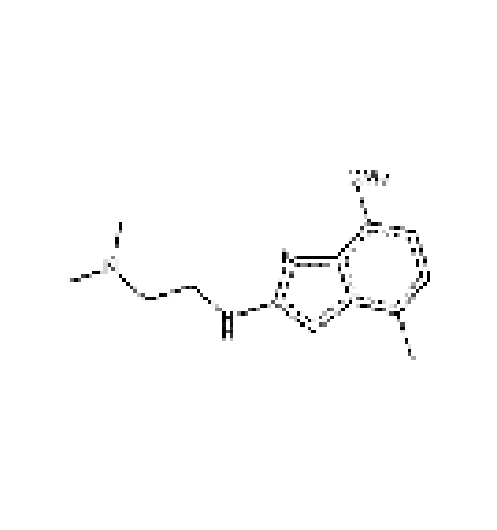 COc1ccc(C)c2sc(NCCN(C)C)nc12